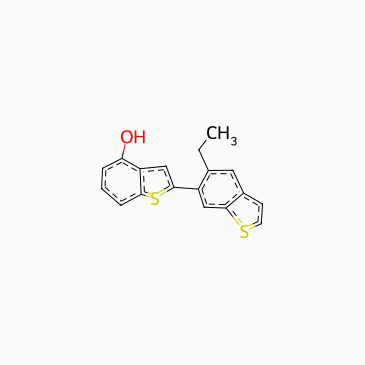 CCc1cc2ccsc2cc1-c1cc2c(O)cccc2s1